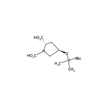 CC(C)(C)[Si](C)(C)O[C@@H]1C[C@@H](C(=O)O)N(C(=O)O)C1